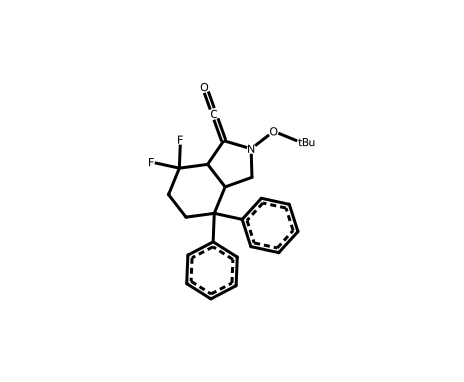 CC(C)(C)ON1CC2C(C1=C=O)C(F)(F)CCC2(c1ccccc1)c1ccccc1